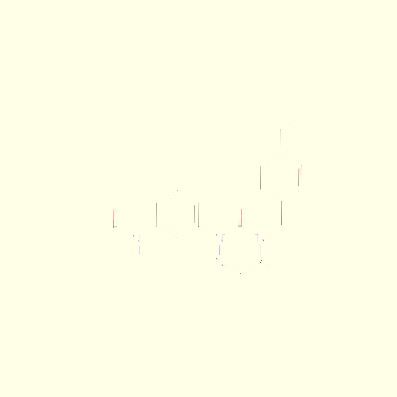 CC(=O)Nc1cccc(-n2ncc(=O)n(Cc3ccc(C(C)C)cc3)c2=O)c1